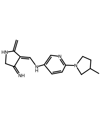 C=C1NCC(=N)/C1=C\Nc1ccc(N2CCC(C)C2)nc1